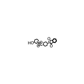 O=C1c2ccccc2C(=O)N1[C@H]1CC[C@H](CS(=O)(=O)N2CCCC(O)C2)CC1